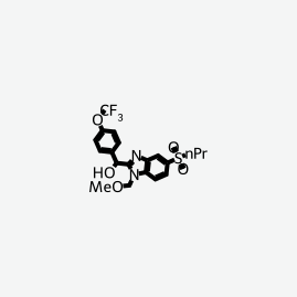 CCCS(=O)(=O)c1ccc2c(c1)nc(C(O)c1ccc(OC(F)(F)F)cc1)n2COC